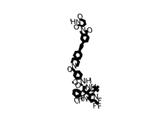 COc1cc(C(=O)N2CCC3(CCC(C#Cc4ccc5c(c4)CN(C4CCC(=O)NC4=O)C5=O)CC3)CC2)ccc1NC(=O)[C@@H]1N[C@@H](CC(C)(C)C)[C@@]2(CNc3cc(C(F)(F)F)ncc32)[C@H]1c1cccc(Cl)c1F